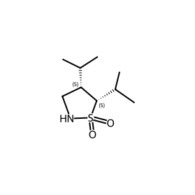 CC(C)[C@H]1CNS(=O)(=O)[C@H]1C(C)C